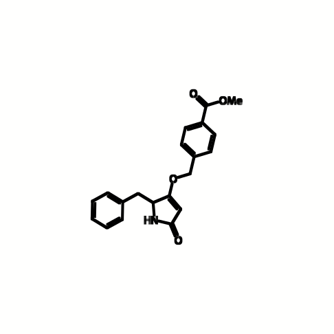 COC(=O)c1ccc(COC2=CC(=O)NC2Cc2ccccc2)cc1